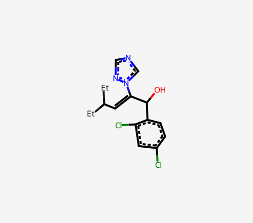 CCC(C=C(C(O)c1ccc(Cl)cc1Cl)n1cncn1)CC